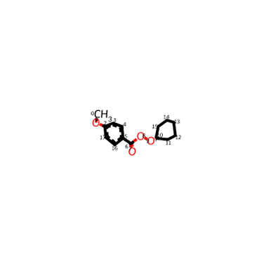 COc1ccc(C(=O)OO[C]2CCCCC2)cc1